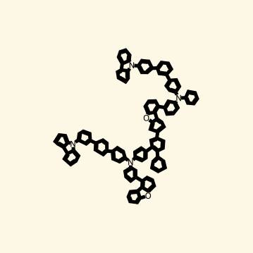 c1ccc(-c2ccc(-c3ccc4c(c3)oc3cccc(-c5cccc(N(c6ccccc6)c6ccc(-c7cccc(-c8ccc(-n9c%10ccccc%10c%10ccccc%109)cc8)c7)cc6)c5)c34)cc2-c2ccc(N(c3ccc(-c4ccc(-c5cccc(-n6c7ccccc7c7ccccc76)c5)cc4)cc3)c3cccc(-c4cccc5oc6ccccc6c45)c3)cc2)cc1